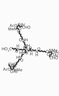 CNC1C(OCCCCCC(=O)NCCCNC(=O)CN(CC(=O)NCCCNC(=O)CCCCCOC2OC(CC=O)C(OC(C)=O)C(OC(C)=O)C2NC)C(CCCCNC(=O)CCCC(=O)O)C(=O)NCCCNC(=O)CCCCCOC2OC(CC=O)C(OC(C)=O)C(OC(C)=O)C2NC)OC(CC=O)C(OC(C)=O)C1OC(C)=O